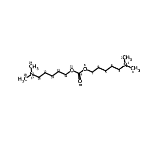 CN(C)CCCCCOC(=O)OCCCCCN(C)C